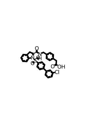 O=C(O)Cc1ccc(CNC(=O)[C@@H]2Cc3ccccc3N2S(=O)(=O)c2ccc(-c3cccc(Cl)c3)cc2)cc1